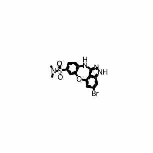 CN(C)S(=O)(=O)c1ccc2c(c1)Oc1cc(Br)cc3[nH]nc(c13)N2